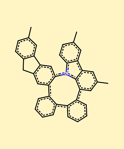 Cc1ccc2c(c1)-c1cc3c(cc1C2)c1ccccc1c1ccccc1c1cc(C)cc2c4cc(C)ccc4n3c12